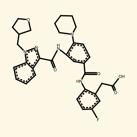 O=C(O)Cc1cc(F)ccc1NC(=O)c1ccc(N2CCCCC2)c(NC(=O)c2nn(CC3CCOC3)c3ccccc23)c1